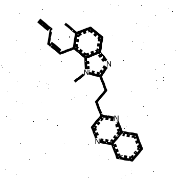 C=C/C=C\c1c(C)ccc2nc(CCc3cnc4ccccc4n3)n(C)c12